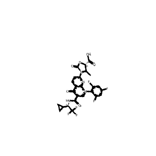 CC1[C@@H](C(=O)O)OC(=O)N1c1ccc2c(=O)c(C(=O)N[C@@H](C3CC3)C(F)(F)F)cn(-c3c(F)cc(F)cc3F)c2n1